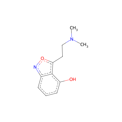 CN(C)CCc1onc2cccc(O)c12